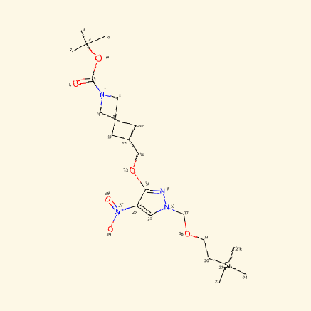 CC(C)(C)OC(=O)N1CC2(CC(COc3nn(COCC[Si](C)(C)C)cc3[N+](=O)[O-])C2)C1